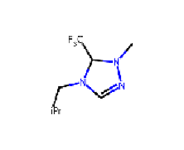 CC(C)CN1C=NN(C)C1C(F)(F)F